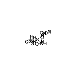 CN(C)C1CCN(C(=O)N2CCC(c3n[nH]c4c3C(=O)c3c(NC(=O)NN5CCOCC5)cccc3-4)CC2)CC1